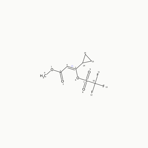 COC(=O)/C=C(\OS(=O)(=O)C(F)(F)F)C1CC1